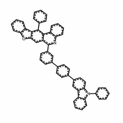 c1ccc(-c2c3c(cc4c(-c5cccc(-c6ccc(-c7ccc8c(c7)c7ccccc7n8-c7ccccc7)cc6)c5)nc5ccccc5c24)oc2ccccc23)cc1